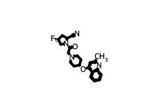 Cc1cc(OC2CCN(CC(=O)N3C[C@@H](F)CC3C#N)CC2)c2ccccc2n1